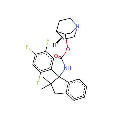 CC1(C)Cc2ccccc2C1(NC(=O)O[C@H]1CN2CCC1CC2)c1cc(F)c(F)cc1F